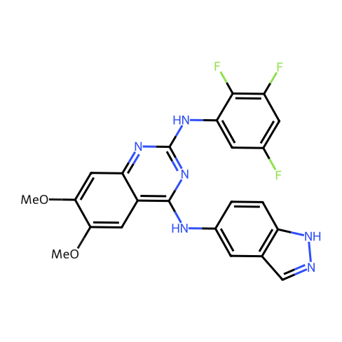 COc1cc2nc(Nc3cc(F)cc(F)c3F)nc(Nc3ccc4[nH]ncc4c3)c2cc1OC